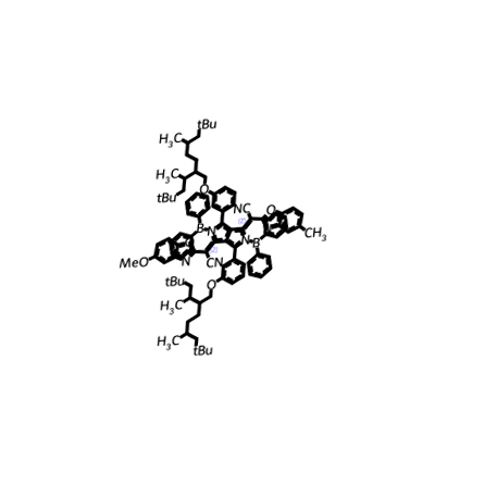 COc1ccc2oc(/C(C#N)=c3/c4c(-c5cccc(OCC(CCC(C)CC(C)(C)C)C(C)CC(C)(C)C)c5)n(B(c5ccccc5)c5ccccc5)/c(=C(/C#N)c5nc6cc(C)ccc6o5)c4c(-c4cccc(OCC(CCC(C)CC(C)(C)C)C(C)CC(C)(C)C)c4)n3B(c3ccccc3)c3ccccc3)nc2c1